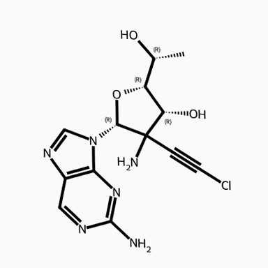 C[C@@H](O)[C@H]1O[C@@H](n2cnc3cnc(N)nc32)C(N)(C#CCl)[C@H]1O